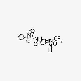 N=C(NC(=O)C(F)(F)F)c1ccc(C(=O)NC[C@@H]2COCCN2C(=O)c2ccccc2)cc1